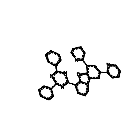 c1ccc(-c2nc(-c3ccccc3)nc(-c3cccc4c3oc3c(-c5ccccn5)cc(-c5ccccn5)cc34)n2)cc1